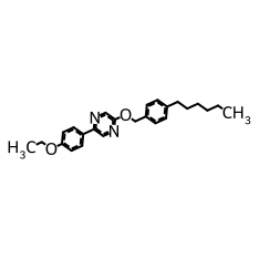 CCCCCCc1ccc(COc2cnc(-c3ccc(OCC)cc3)cn2)cc1